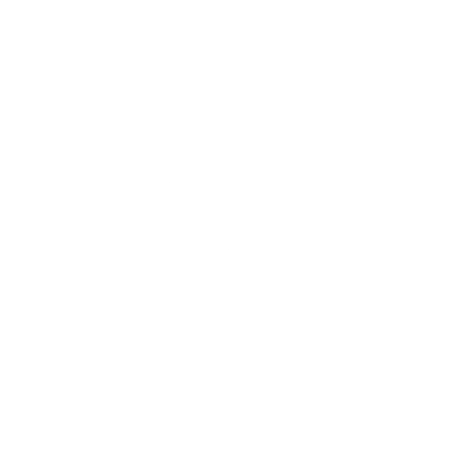 O=C1c2c(ccc3ccccc23)C=CC1CCl